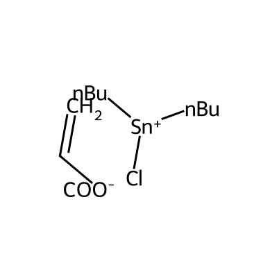 C=CC(=O)[O-].CCC[CH2][Sn+]([Cl])[CH2]CCC